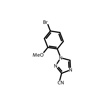 COc1cc(Br)ccc1-n1cnc(C#N)n1